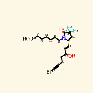 CCC#CCCC(O)C=C[C@H]1CC(F)(F)C(=O)N1CCCCCCC(=O)O